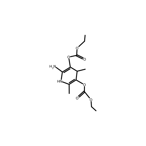 CCOC(=O)OC1=C(C)NC(N)=C(OC(=O)OCC)C1C